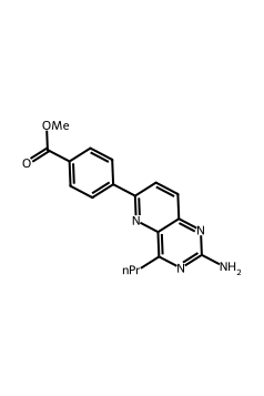 CCCc1nc(N)nc2ccc(-c3ccc(C(=O)OC)cc3)nc12